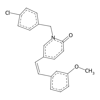 COc1cccc(/C=C\c2ccc(=O)n(Cc3ccc(Cl)cc3)c2)c1